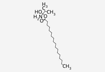 CCCCCCCCCCCCCCCCCC(=O)OC(N)(O)C(C)C